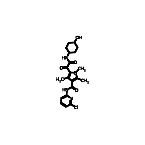 Cc1c(C(=O)Nc2cccc(Cl)n2)c(C)n(C)c1C(=O)C(=O)NC1CCC(O)CC1